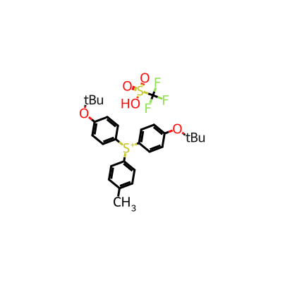 Cc1ccc([S+](c2ccc(OC(C)(C)C)cc2)c2ccc(OC(C)(C)C)cc2)cc1.O=S(=O)(O)C(F)(F)F